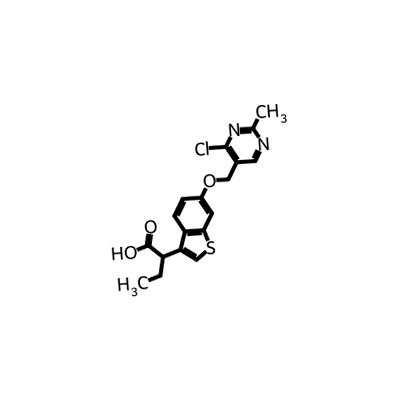 CCC(C(=O)O)c1csc2cc(OCc3cnc(C)nc3Cl)ccc12